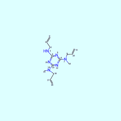 C=CCNc1nc(N(C)CC=C)nc(N(C)CC=C)n1